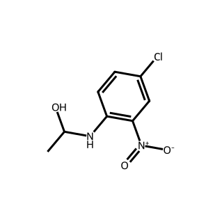 CC(O)Nc1ccc(Cl)cc1[N+](=O)[O-]